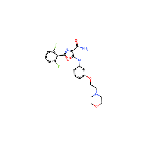 NC(=O)c1nc(-c2c(F)cccc2F)oc1Nc1cccc(OCCN2CCOCC2)c1